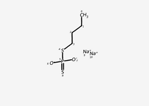 CCCCSP([O-])([O-])=S.[Na+].[Na+]